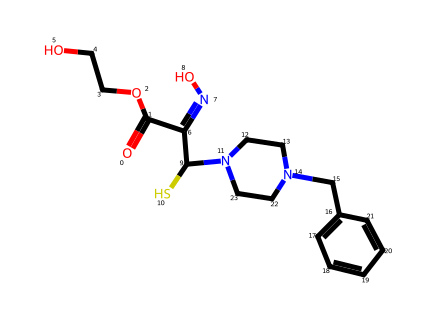 O=C(OCCO)C(=NO)C(S)N1CCN(Cc2ccccc2)CC1